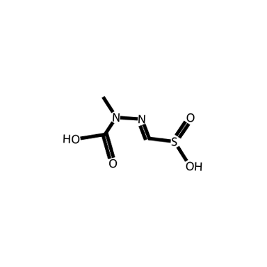 CN(/N=C/S(=O)O)C(=O)O